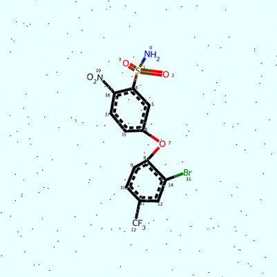 NS(=O)(=O)c1cc(Oc2ccc(C(F)(F)F)cc2Br)ccc1[N+](=O)[O-]